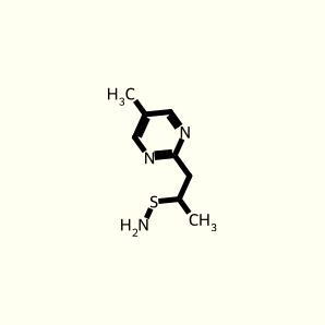 Cc1cnc(CC(C)SN)nc1